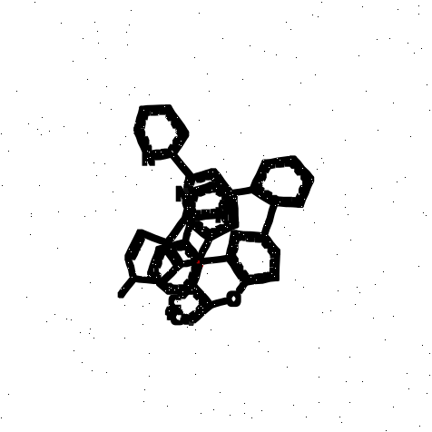 CC1C=CC2=C(C1)C1(c3ccccc3Oc3ccc(-c4ccccc4-c4cc(-c5ccccn5)nc(-c5ccccc5)n4)cc31)c1ccccc12